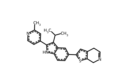 Cc1cc(-c2[nH]c3ccc(-c4cc5c(s4)CN=CC5)cc3c2C(C)C)ccn1